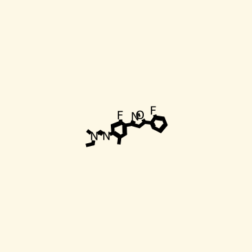 CCN(C)C=Nc1cc(F)c(C2=NOC(c3ccccc3F)C2)cc1C